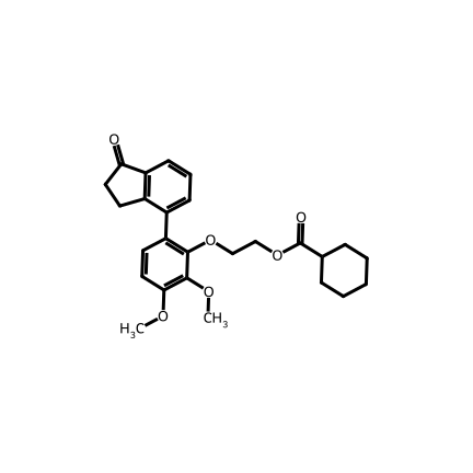 COc1ccc(-c2cccc3c2CCC3=O)c(OCCOC(=O)C2CCCCC2)c1OC